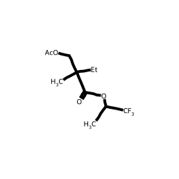 CCC(C)(COC(C)=O)C(=O)OC(C)C(F)(F)F